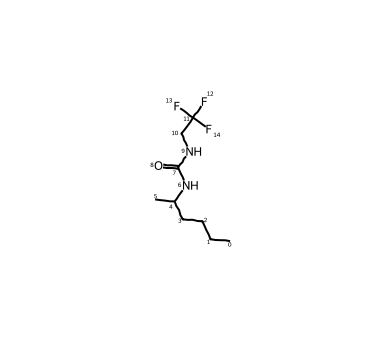 CCCCC(C)NC(=O)NCC(F)(F)F